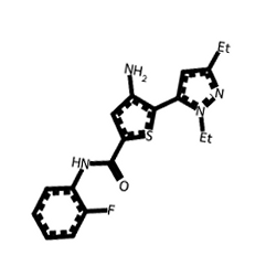 CCc1cc(-c2sc(C(=O)Nc3ccccc3F)cc2N)n(CC)n1